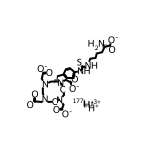 N[C@@H](CCCCNC(=S)Nc1ccc(C[C@@H]2CN(CC(=O)[O-])CCN(CC(=O)[O-])CCN(CC(=O)[O-])CCN2CC(=O)[O-])cc1)C(=O)[O-].[177Lu+3].[H+].[H+]